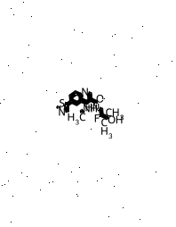 CCNc1c(C(=O)NC[C@@H](F)C(C)(C)O)cnc2ccc(-c3cncs3)cc12